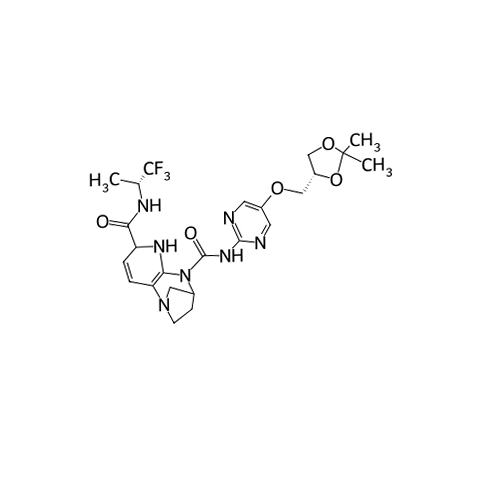 C[C@@H](NC(=O)C1C=CC2=C(N1)N(C(=O)Nc1ncc(OC[C@@H]3COC(C)(C)O3)cn1)C1CCN2C1)C(F)(F)F